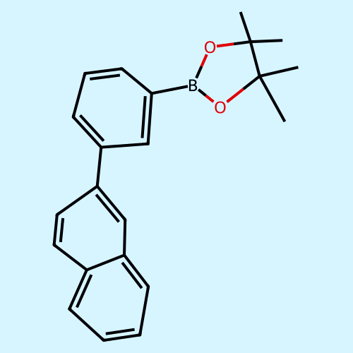 CC1(C)OB(c2cccc(-c3ccc4ccccc4c3)c2)OC1(C)C